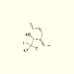 C=C/C=C\C(=C/C)C(O)C(Cl)(Cl)Cl